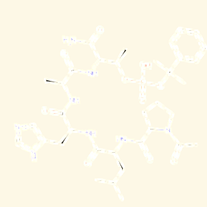 CC(=O)N1CCCC1C(=O)N[C@@H](CC(C)C)C(=O)N[C@@H](Cc1cnc[nH]1)C(=O)N[C@@H](C)C(=O)N[C@H](C(N)=O)[C@@H](C)OP(=O)(O)OC(C)(C)c1ccccc1